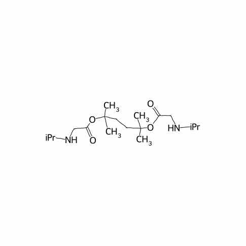 CC(C)NCC(=O)OC(C)(C)CCC(C)(C)OC(=O)CNC(C)C